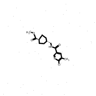 COC(=O)[C@H]1CC[C@H](CNC(=O)c2cnc(Cl)c(C)c2)CC1